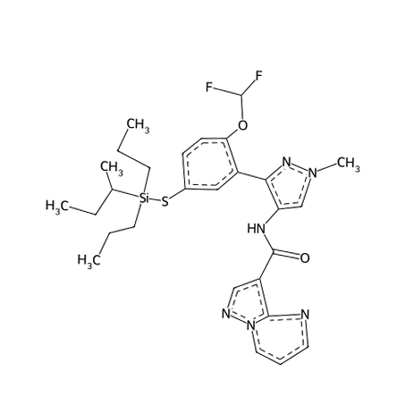 CCC[Si](CCC)(Sc1ccc(OC(F)F)c(-c2nn(C)cc2NC(=O)c2cnn3cccnc23)c1)C(C)CC